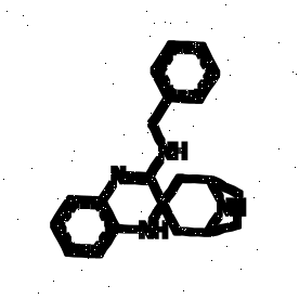 c1ccc(CNC2=Nc3ccccc3NC23CC2CCC(C3)N2)cc1